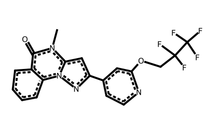 Cn1c(=O)c2ccccc2n2nc(-c3ccnc(OCC(F)(F)C(F)(F)F)c3)cc12